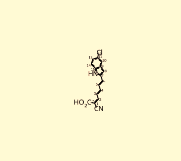 N#CC(=CC=CC=Cc1cc2cc(Cl)ccc2[nH]1)C(=O)O